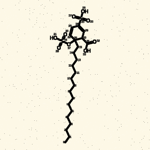 CCCCCCCCCCCCCCCCC1(OS(=O)(=O)O)C=CC(S(=O)(=O)O)=CC1C(=O)O